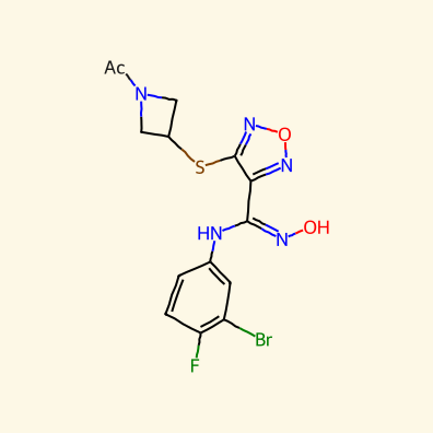 CC(=O)N1CC(Sc2nonc2C(=NO)Nc2ccc(F)c(Br)c2)C1